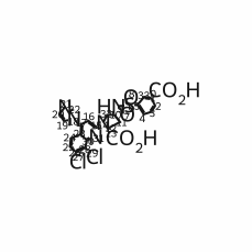 O=C(O)c1cccc(S(=O)(=O)N[C@@H]2C[C@@H](C(=O)O)N(c3cc(-n4ccnc4)c4ccc(Cl)c(Cl)c4n3)C2)c1